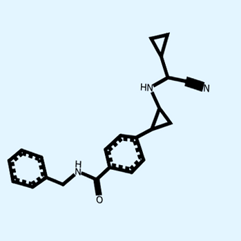 N#CC(NC1CC1c1ccc(C(=O)NCc2ccccc2)cc1)C1CC1